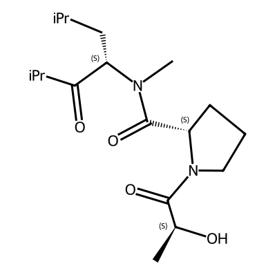 CC(C)C[C@@H](C(=O)C(C)C)N(C)C(=O)[C@@H]1CCCN1C(=O)[C@H](C)O